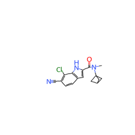 CN(C(=O)c1cc2ccc(C#N)c(Cl)c2[nH]1)C12CC(C1)C2